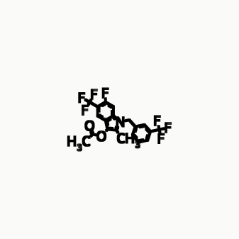 CC(=O)Oc1c(C)n(Cc2cccc(C(F)(F)F)c2)c2cc(F)c(C(F)(F)F)cc12